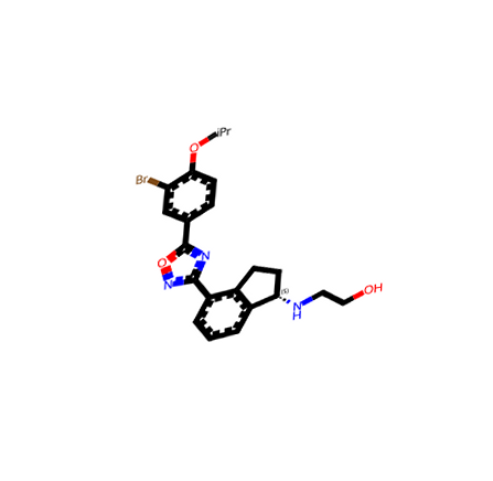 CC(C)Oc1ccc(-c2nc(-c3cccc4c3CC[C@@H]4NCCO)no2)cc1Br